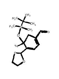 [2H]C1(O[Si](C)(C)C(C)(C)C)CC(C=O)=CC=C1C1OCCO1